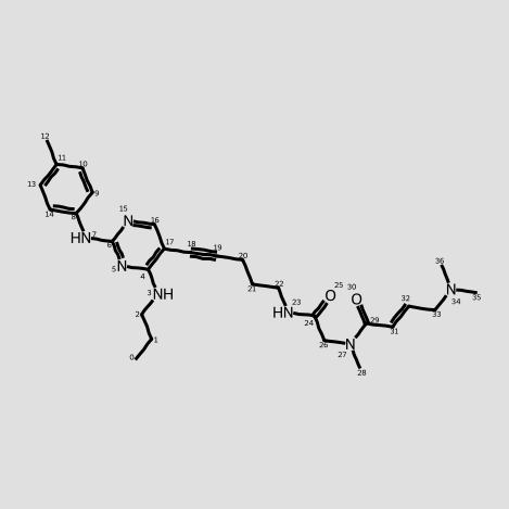 CCCNc1nc(Nc2ccc(C)cc2)ncc1C#CCCCNC(=O)CN(C)C(=O)/C=C/CN(C)C